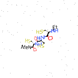 CCN[C@@H](CS)C(=O)N[C@@H](CS)C(=O)N[C@@H](CS)C(=O)NC